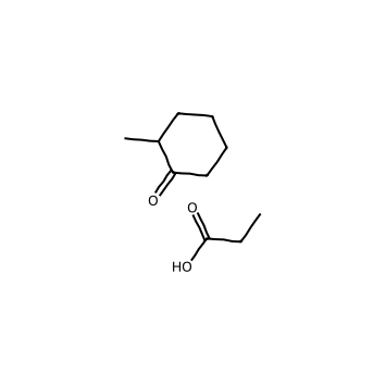 CC1CCCCC1=O.CCC(=O)O